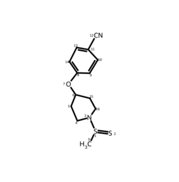 CS(=S)N1CCC(Oc2ccc(C#N)cc2)CC1